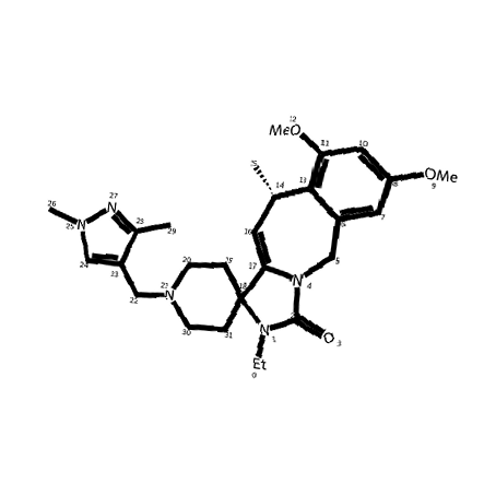 CCN1C(=O)N2Cc3cc(OC)cc(OC)c3[C@@H](C)C=C2C12CCN(Cc1cn(C)nc1C)CC2